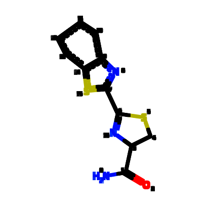 NC(=O)C1CSC(c2nc3ccccc3s2)=N1